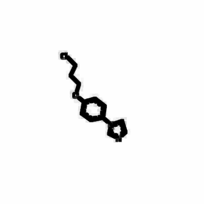 ClCCCOc1ccc(-n2ccnc2)cc1